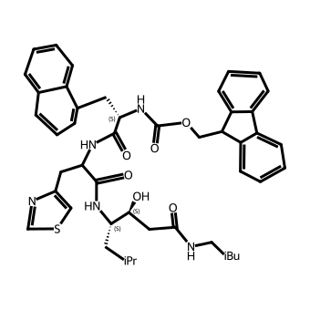 CCC(C)CNC(=O)C[C@H](O)[C@H](CC(C)C)NC(=O)C(Cc1cscn1)NC(=O)[C@H](Cc1cccc2ccccc12)NC(=O)OCC1c2ccccc2-c2ccccc21